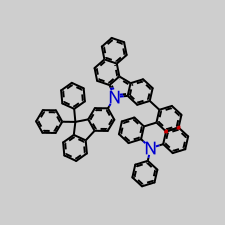 c1ccc(N(c2ccccc2)c2ccccc2-c2ccccc2-c2ccc3c4c5ccccc5ccc4n(-c4ccc5c(c4)C(c4ccccc4)(c4ccccc4)c4ccccc4-5)c3c2)cc1